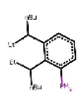 CCCCC(CC)c1cccc(P)c1C(CC)CCCC